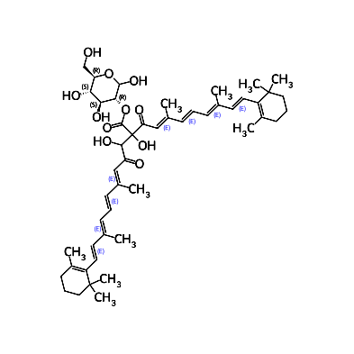 CC1=C(/C=C/C(C)=C/C=C/C(C)=C/C(=O)C(O)C(O)(C(=O)/C=C(C)/C=C/C=C(C)/C=C/C2=C(C)CCCC2(C)C)C(=O)O[C@H]2C(O)O[C@H](CO)[C@@H](O)[C@@H]2O)C(C)(C)CCC1